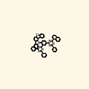 c1ccc(-c2nc(-c3ccccc3)nc(-c3cc(-c4nc(-c5ccccc5)nc(-c5cccc6ccccc56)n4)ccc3-n3c4ccccc4c4ccc5oc6ccccc6c5c43)n2)cc1